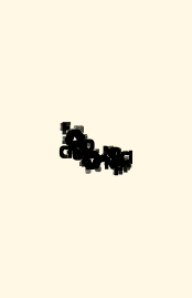 O=S(=O)(c1[c]ccc(-c2noc(C(F)(F)Cl)n2)c1)c1ccc(F)cc1Cl